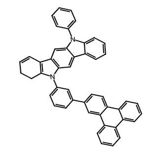 C1=Cc2c(n(-c3cccc(-c4ccc5c6ccccc6c6ccccc6c5c4)c3)c3cc4c5ccccc5n(-c5ccccc5)c4cc23)CC1